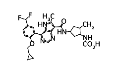 Cc1[nH]c2c(-c3cc(C(F)F)ccc3OCC3CC3)ncnc2c1C(=O)NC1CC(C)C(NC(=O)O)C1